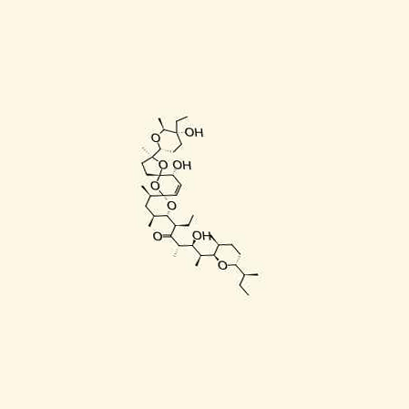 CC[C@H](C)[C@H]1CC[C@H](C)[C@H]([C@@H](C)[C@H](O)[C@H](C)C(=O)[C@H](CC)[C@H]2O[C@]3(C=C[C@@H](O)[C@]4(CC[C@@](C)([C@H]5CC[C@](O)(CC)[C@H](C)O5)O4)O3)[C@H](C)C[C@@H]2C)O1